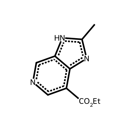 CCOC(=O)c1cncc2[nH]c(C)nc12